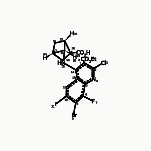 CCOC(=O)c1c(Cl)nc2c(F)c(Br)c(I)cc2c1N[C@H]1[C@@H]2C[C@H]1N(C(=O)O)C2